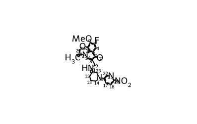 COc1c(F)cc2c(=O)c(CN[C@H]3CCCN(c4ccc([N+](=O)[O-])nc4)C3)cn3c2c1OCC3C